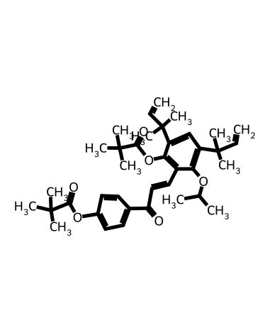 C=CC(C)(C)c1cc(C(C)(C)C=C)c(OC(C)C)c(C=CC(=O)c2ccc(OC(=O)C(C)(C)C)cc2)c1OC(=O)C(C)(C)C